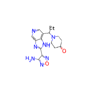 CCC(c1cncc2nc(-c3nonc3N)[nH]c12)N1CCC(=O)CC1